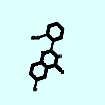 COc1ccccc1-c1nc2ccc(Br)cc2c(=O)[nH]1